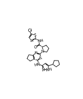 O=C(Nc1ncc(Cl)s1)[C@H]1CCCN1c1nc2c(c(Nc3cc(C4CCCC4)[nH]n3)n1)CCC2